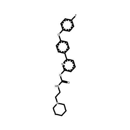 O=C(NCCN1CCCCC1)Oc1cccc(-c2ccc(Oc3ccc(F)cc3)cc2)n1